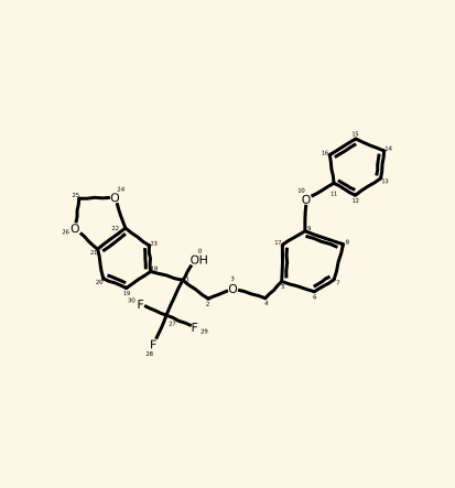 OC(COCc1cccc(Oc2ccccc2)c1)(c1ccc2c(c1)OCO2)C(F)(F)F